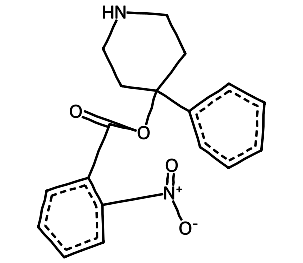 O=C(OC1(c2ccccc2)CCNCC1)c1ccccc1[N+](=O)[O-]